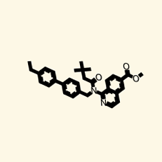 CCc1ccc(-c2ccc(CN(C(=O)CC(C)(C)C)c3nccc4cc(C(=O)OC)ccc34)cc2)cc1